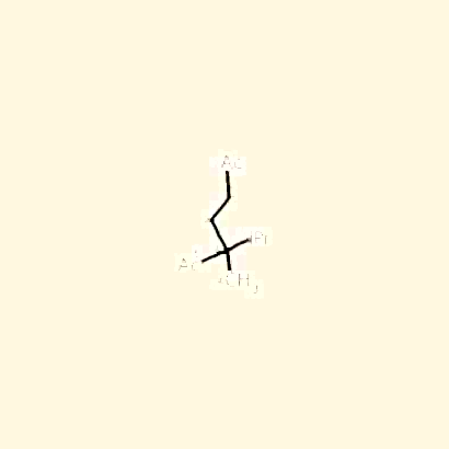 CC(=O)CCC(C)(C(C)=O)C(C)C